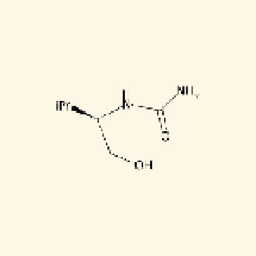 CC(C)[C@H](CO)NC(N)=O